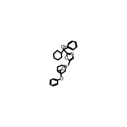 O[C@](c1ccccc1)(c1ncc(C[N+]23CCC(CC2)C(Oc2ccccc2)C3)o1)C1CCCCC1